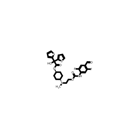 CN(CCOC(=O)Nc1cc(F)c(C=O)cc1F)[C@H]1CC[C@H](OC(=O)C(O)(c2cccs2)c2cccs2)CC1